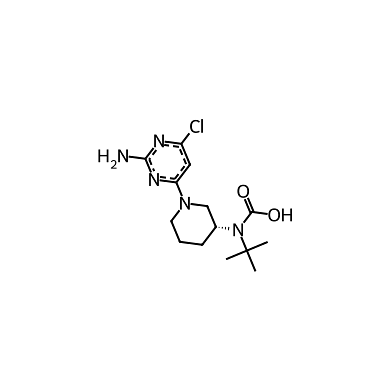 CC(C)(C)N(C(=O)O)[C@@H]1CCCN(c2cc(Cl)nc(N)n2)C1